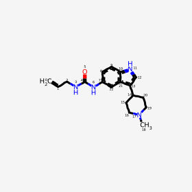 C=CCNC(=O)Nc1ccc2[nH]cc(C3CCN(C)CC3)c2c1